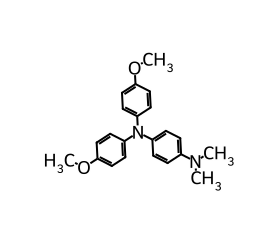 COc1ccc(N(c2ccc(OC)cc2)c2ccc(N(C)C)cc2)cc1